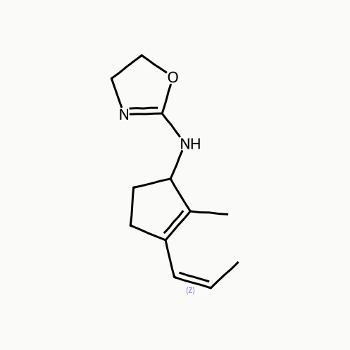 C/C=C\C1=C(C)C(NC2=NCCO2)CC1